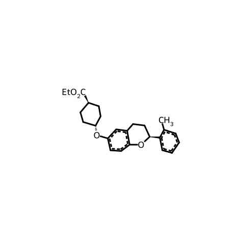 CCOC(=O)[C@H]1CC[C@H](Oc2ccc3c(c2)CC[C@@H](c2ccccc2C)O3)CC1